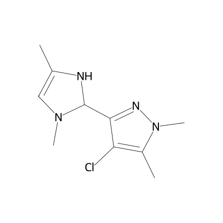 CC1=CN(C)C(c2nn(C)c(C)c2Cl)N1